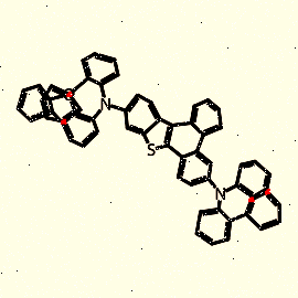 c1ccc(-c2ccccc2N(c2ccccc2)c2ccc3c(c2)c2ccccc2c2c4ccc(N(c5ccccc5-c5ccccc5)c5cccc6c5oc5ccccc56)cc4sc32)cc1